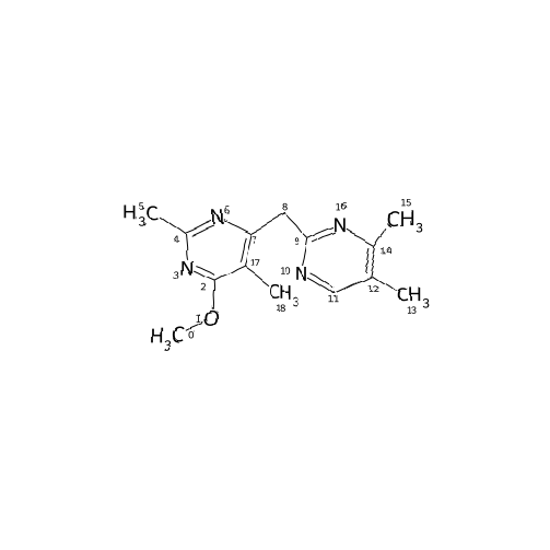 COc1nc(C)nc(Cc2ncc(C)c(C)n2)c1C